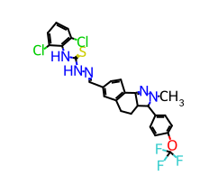 CN1N=C2c3ccc(C=NNC(=S)Nc4c(Cl)cccc4Cl)cc3CCC2C1c1ccc(OC(F)(F)F)cc1